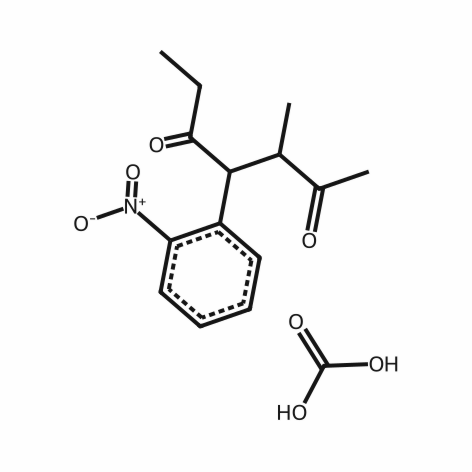 CCC(=O)C(c1ccccc1[N+](=O)[O-])C(C)C(C)=O.O=C(O)O